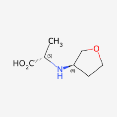 C[C@H](N[C@@H]1CCOC1)C(=O)O